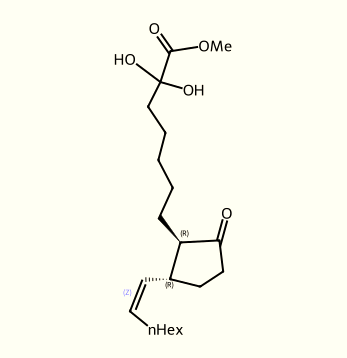 CCCCCC/C=C\[C@H]1CCC(=O)[C@@H]1CCCCCC(O)(O)C(=O)OC